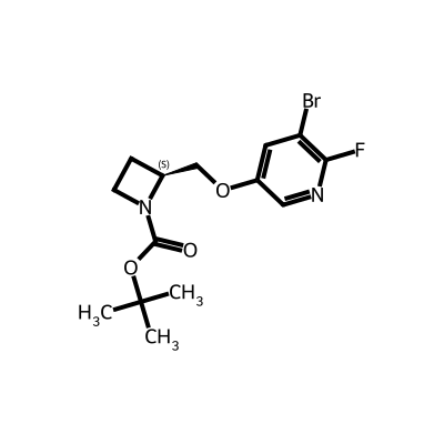 CC(C)(C)OC(=O)N1CC[C@H]1COc1cnc(F)c(Br)c1